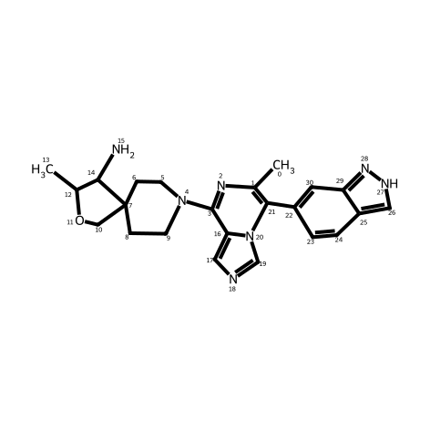 Cc1nc(N2CCC3(CC2)COC(C)C3N)c2cncn2c1-c1ccc2c[nH]nc2c1